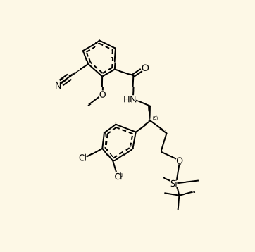 COc1c(C#N)cccc1C(=O)NC[C@@H](CCO[Si](C)(C)C(C)(C)C)c1ccc(Cl)c(Cl)c1